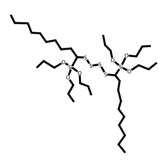 CCCCCCCCCC(SSSSC(CCCCCCCCC)[Si](OCCC)(OCCC)OCCC)[Si](OCCC)(OCCC)OCCC